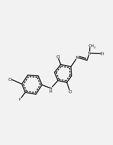 CCN(C)C=Nc1cc(Cl)c(Nc2ccc(Cl)c(F)c2)cc1Cl